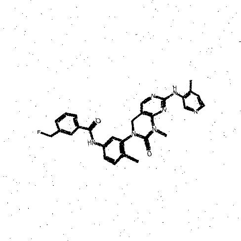 Cc1ccncc1Nc1ncc2c(n1)N(C)C(=O)N(c1cc(NC(=O)c3cccc(CF)c3)ccc1C)C2